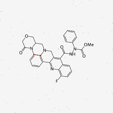 COC(=O)N(NC(=O)c1c(CN2CCN3C(=O)COCC3C2)c(-c2ccccc2)nc2c(F)cccc12)c1ccccc1